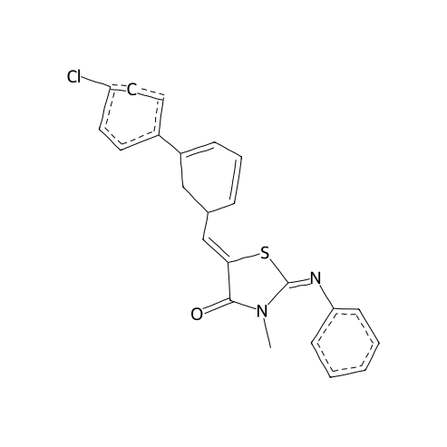 CN1C(=O)/C(=C/C2C=CC=C(c3ccc(Cl)cc3)C2)S/C1=N/c1ccccc1